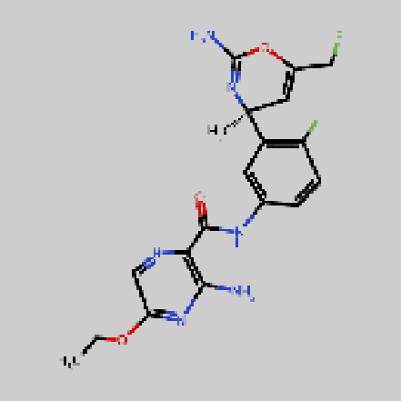 CCOc1cnc(C(=O)Nc2ccc(F)c([C@]3(C)C=C(CF)OC(N)=N3)c2)c(N)n1